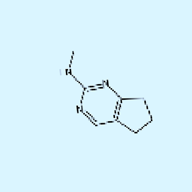 CNc1ncc2c(n1)CCC2